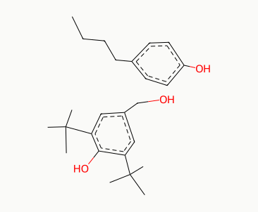 CC(C)(C)c1cc(CO)cc(C(C)(C)C)c1O.CCCCc1ccc(O)cc1